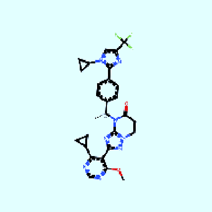 COc1ncnc(C2CC2)c1-c1nc2n(n1)CCC(=O)N2[C@H](C)c1ccc(-c2nc(C(F)(F)F)cn2C2CC2)cc1